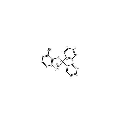 CCc1c[c]cc(CC)c1CC(O)(c1ccccc1)c1ccccc1